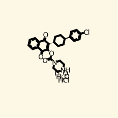 Cl.O.O.O=C1C(OC(=O)N2CCNCC2)=C([C@H]2CC[C@H](c3ccc(Cl)cc3)CC2)C(=O)c2ccccc21